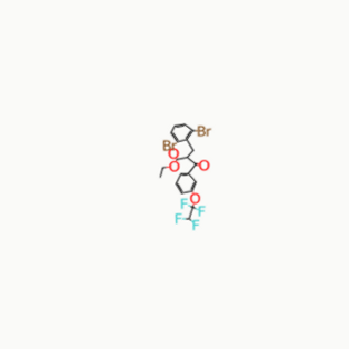 CCOC(=O)C(Cc1c(Br)cccc1Br)C(=O)c1cccc(OC(F)(F)C(F)F)c1